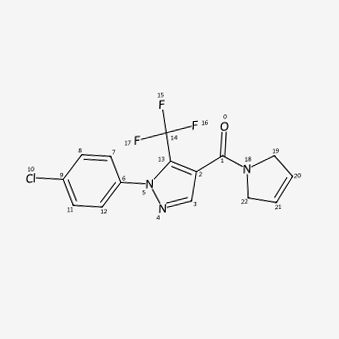 O=C(c1cnn(-c2ccc(Cl)cc2)c1C(F)(F)F)N1CC=CC1